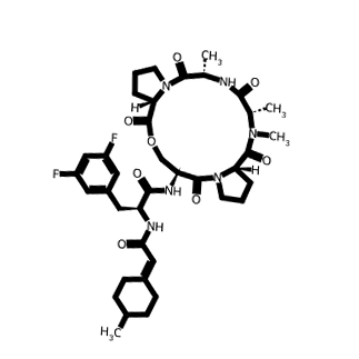 CC1CCC(=CC(=O)N[C@@H](Cc2cc(F)cc(F)c2)C(=O)N[C@H]2COC(=O)[C@@H]3CCCN3C(=O)[C@H](C)NC(=O)[C@H](C)N(C)C(=O)[C@@H]3CCCN3C2=O)CC1